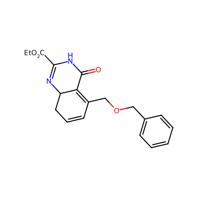 CCOC(=O)C1=NC2CC=CC(COCc3ccccc3)=C2C(=O)N1